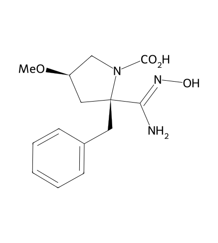 CO[C@H]1CN(C(=O)O)[C@](Cc2ccccc2)(C(N)=NO)C1